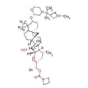 CC(C)[C@@H](OC(=O)N1CCC1)[C@H]1C[C@@H](C)[C@H]2[C@H](O1)[C@H](O)[C@@]1(C)[C@@H]3CC[C@H]4C(C)(C)C(O[C@H]5CN(C(C)(C)C6CN(C)C6)CCO5)CC[C@@]45C[C@@]35CC[C@]21C